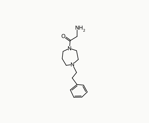 NCC(=O)N1CCCN(CCc2ccccc2)CC1